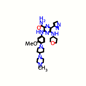 COc1cc(Nc2nc(NC3CCOCC3)c(C3=CCN=N3)nc2C(N)=O)ccc1N1CCC(N2CCN(C)CC2)CC1